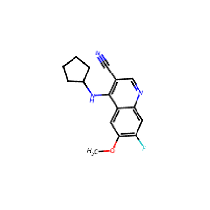 COc1cc2c(NC3CCCC3)c(C#N)cnc2cc1F